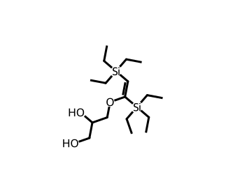 CC[Si](C=C(OCC(O)CO)[Si](CC)(CC)CC)(CC)CC